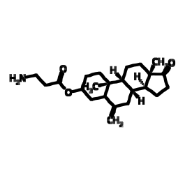 C=C1C[C@@H]2[C@@H](CC[C@]3(C)C(=O)CC[C@@H]23)[C@@]2(C)CCC(OC(=O)CCN)CC12